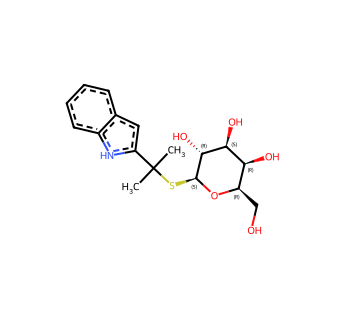 CC(C)(S[C@@H]1O[C@H](CO)[C@H](O)[C@H](O)[C@H]1O)c1cc2ccccc2[nH]1